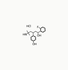 CC(C)([NH])CC(CC(O)c1ccccc1F)c1ccc(O)cc1.Cl